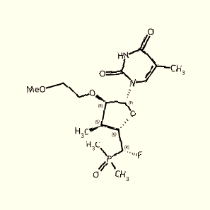 COCCO[C@@H]1[C@H](C)[C@@H]([C@H](F)P(C)(C)=O)O[C@H]1n1cc(C)c(=O)[nH]c1=O